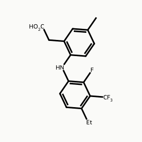 CCc1ccc(Nc2ccc(C)cc2CC(=O)O)c(F)c1C(F)(F)F